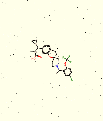 CC(c1cc(Cl)ccc1OC(F)(F)F)N1CCC2(CCc3ccc(C(C4CC4)[C@H](C)C(=O)O)cc3O2)CC1